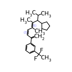 C=C(/C=C\C(C)=C(/C)C(C(C)C)C1CCCC1)c1cccc(C(C)(F)F)c1